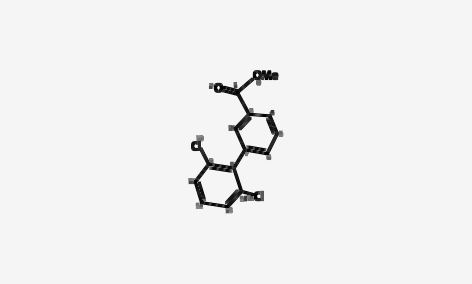 COC(=O)c1cccc(-c2c(Cl)cccc2Cl)c1